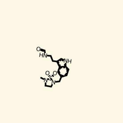 CN1CCN(Cc2ccc3[nH]cc(CCNC=O)c3c2)S1(=O)=O